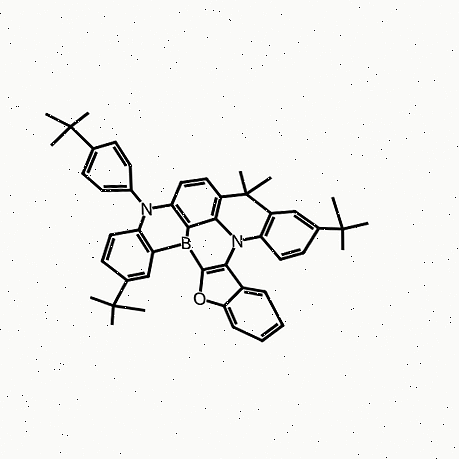 CC(C)(C)c1ccc(N2c3ccc(C(C)(C)C)cc3B3c4oc5ccccc5c4N4c5ccc(C(C)(C)C)cc5C(C)(C)c5ccc2c3c54)cc1